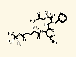 CN(CC(N)=O)C(=O)[C@H](Cc1cccnc1)NC(=O)C(CC(N)=O)NC(=O)[C@@H](N)CCC(=O)OC(C)(C)C